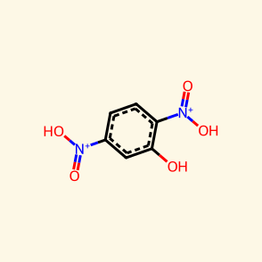 O=[N+](O)c1ccc([N+](=O)O)c(O)c1